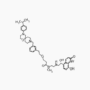 CC(C)c1ccc(N2CCOC3(CCN(Cc4cccc(CCOCCC(=O)N(C)CCNCC(O)c5ccc(O)c6[nH]c(=O)ccc56)c4)CC3)C2)cc1